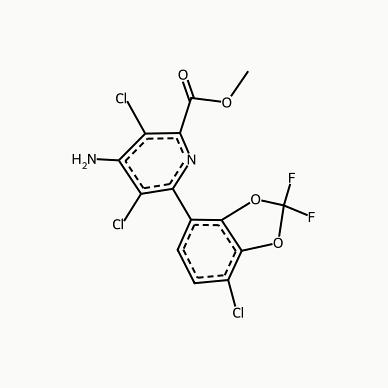 COC(=O)c1nc(-c2ccc(Cl)c3c2OC(F)(F)O3)c(Cl)c(N)c1Cl